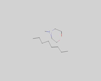 CCCCCCCC.CN1CCOCC1